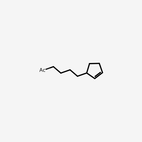 CC(=O)CCCCC1C=CCC1